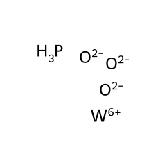 P.[O-2].[O-2].[O-2].[W+6]